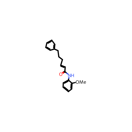 COc1ccccc1NC(=O)C=CCCCc1ccccc1